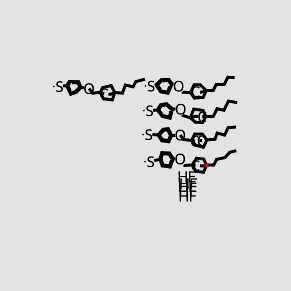 CCCCCC12CCC(COc3ccc([S])cc3)(CC1)CC2.CCCCCC12CCC(COc3ccc([S])cc3)(CC1)CC2.CCCCCC12CCC(COc3ccc([S])cc3)(CC1)CC2.CCCCCC12CCC(COc3ccc([S])cc3)(CC1)CC2.CCCCCC12CCC(COc3ccc([S])cc3)(CC1)CC2.F.F.F.F.F